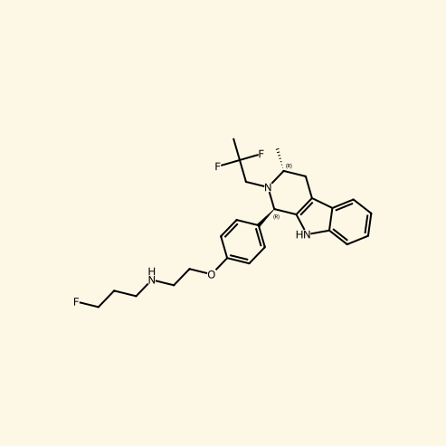 C[C@@H]1Cc2c([nH]c3ccccc23)[C@@H](c2ccc(OCCNCCCF)cc2)N1CC(C)(F)F